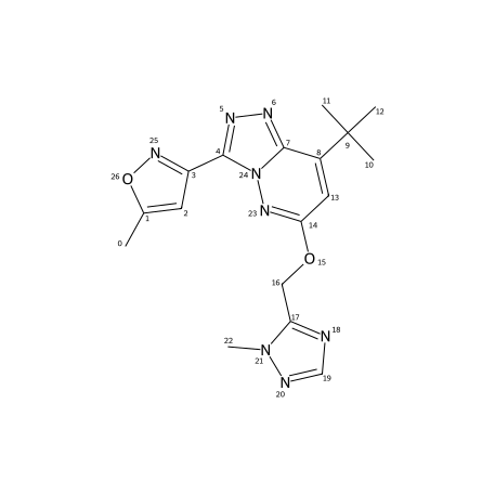 Cc1cc(-c2nnc3c(C(C)(C)C)cc(OCc4ncnn4C)nn23)no1